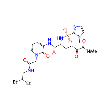 CCC(CC)CNC(=O)Cn1cccc(NC(=O)C(CCC(=O)C(=O)NC)NS(=O)(=O)c2nccn2C)c1=O